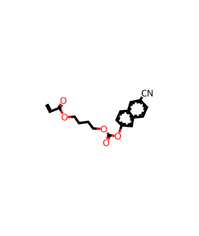 C=CC(=O)OCCCCOC(=O)Oc1ccc2cc(C#N)ccc2c1